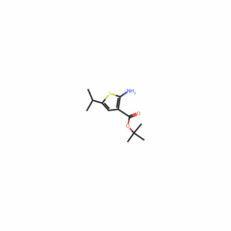 CC(C)c1cc(C(=O)OC(C)(C)C)c(N)s1